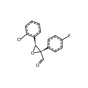 O=C[C@]1(c2ccc(F)cc2)O[C@H]1c1ccccc1Cl